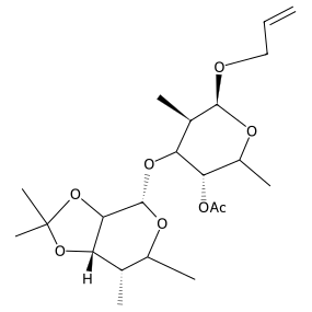 C=CCO[C@H]1OC(C)[C@H](OC(C)=O)C(O[C@@H]2OC(C)[C@H](C)[C@@H]3OC(C)(C)OC23)[C@H]1C